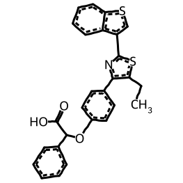 CCc1sc(-c2csc3ccccc23)nc1-c1ccc(OC(C(=O)O)c2ccccc2)cc1